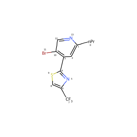 [CH2]CCc1cc(-c2nc(C(F)(F)F)cs2)c(Br)cn1